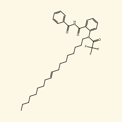 CCCCCCCCC=CCCCCCCCCN(C(=O)C(F)(F)F)c1ccccc1C(=O)NC(=O)c1ccccc1